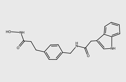 O=C(CCc1ccc(CNC(=O)Cc2c[nH]c3ccccc23)cc1)NO